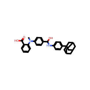 CN(c1ccc(C(O)Nc2ccc(C34CC5CC(CC(C5)C3)C4)cc2)cc1)c1ccccc1C(=O)O